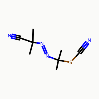 CC(C)(C#N)N=NC(C)(C)SC#N